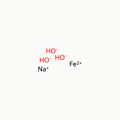 [Fe+2].[Na+].[OH-].[OH-].[OH-]